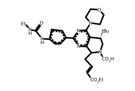 CCNC(=O)Nc1ccc(-c2nc3c(c(N4CCOCC4)n2)[C@H](C(C)(C)C)CN(C(=O)O)C3CC=CC(=O)OCC)cc1